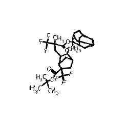 CC1C2CC(C1CC(C)(C(=O)OC1(C)C3CC4CC(C3)CC1C4)C(F)(F)F)C(C(=O)OC(C)(C)C)(C(F)(F)F)C2